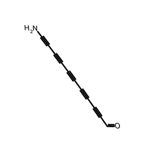 NC#CC#CC#CC#CC#CC=O